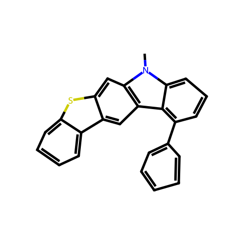 Cn1c2cc3sc4ccccc4c3cc2c2c(-c3ccccc3)cccc21